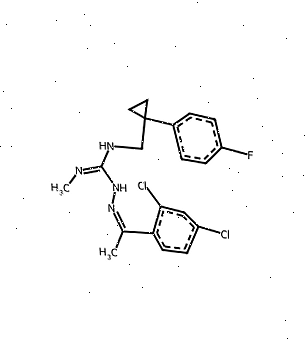 CN=C(NCC1(c2ccc(F)cc2)CC1)NN=C(C)c1ccc(Cl)cc1Cl